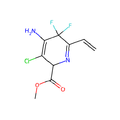 C=CC1=NC(C(=O)OC)C(Cl)=C(N)C1(F)F